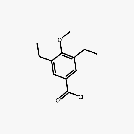 CCc1cc(C(=O)Cl)cc(CC)c1OC